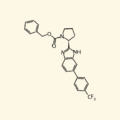 O=C(OCc1ccccc1)N1CCC[C@H]1c1nc2ccc(-c3ccc(C(F)(F)F)cc3)cc2[nH]1